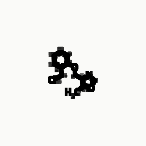 Cc1ocnc1COc1ccccc1CCl